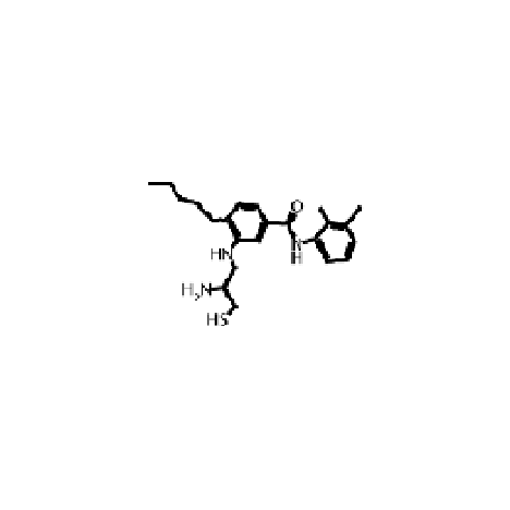 CCCCCc1ccc(C(=O)Nc2cccc(C)c2C)cc1NCC(N)CS